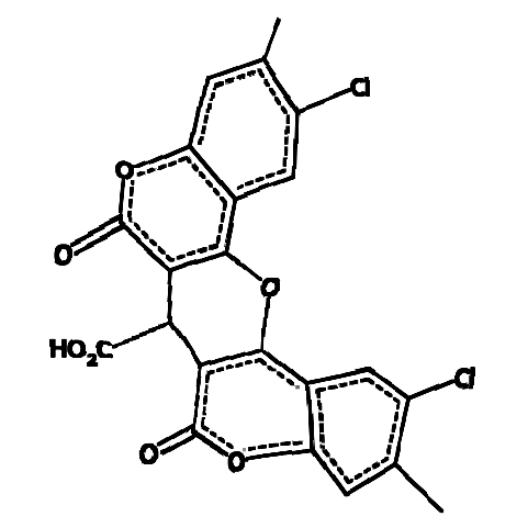 Cc1cc2oc(=O)c3c(c2cc1Cl)Oc1c(c(=O)oc2cc(C)c(Cl)cc12)C3C(=O)O